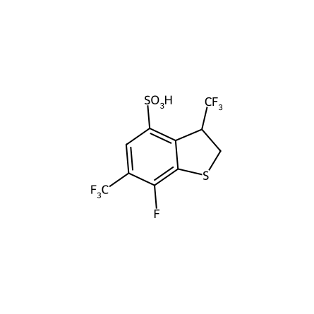 O=S(=O)(O)c1cc(C(F)(F)F)c(F)c2c1C(C(F)(F)F)CS2